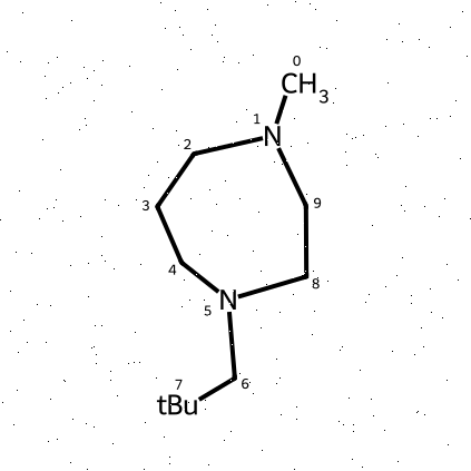 CN1CCCN(CC(C)(C)C)CC1